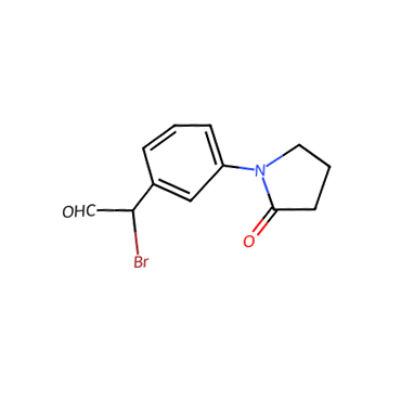 O=CC(Br)c1cccc(N2CCCC2=O)c1